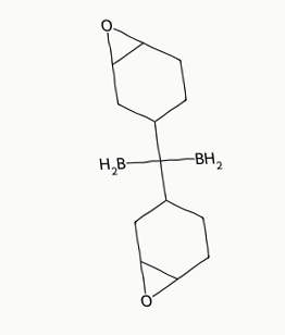 BC(B)(C1CCC2OC2C1)C1CCC2OC2C1